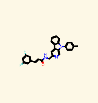 Cc1ccc(-n2c3ccccc3c3cc(CNC(=O)/C=C/c4cc(F)cc(F)c4)ncc32)cc1